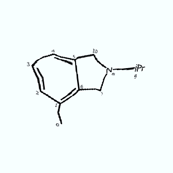 Cc1cccc2c1CN(C(C)C)C2